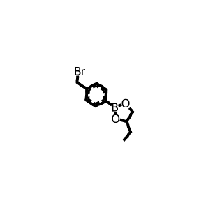 CCC1COB(c2ccc(CBr)cc2)O1